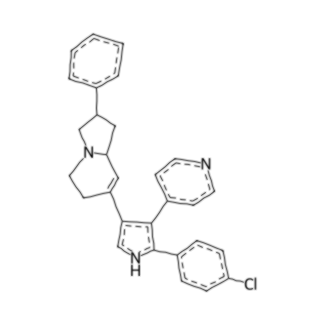 Clc1ccc(-c2[nH]cc(C3=CC4CC(c5ccccc5)CN4CC3)c2-c2ccncc2)cc1